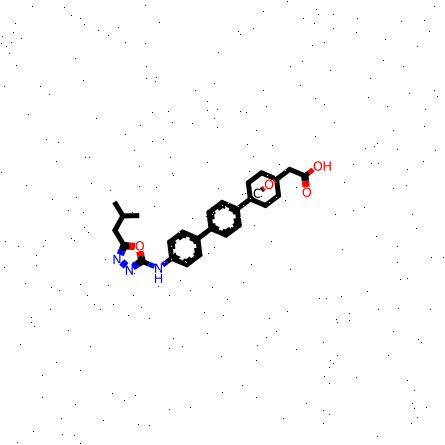 CC(C)Cc1nnc(Nc2ccc(-c3ccc(C45CCC(CC(=O)O)(CC4)OC5)cc3)cc2)o1